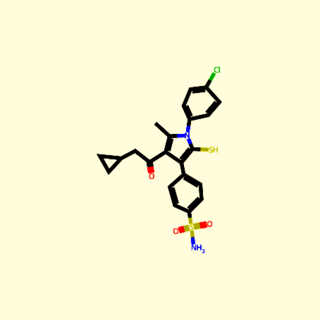 Cc1c(C(=O)CC2CC2)c(-c2ccc(S(N)(=O)=O)cc2)c(S)n1-c1ccc(Cl)cc1